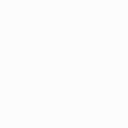 O=Cc1csc(C2OCCO2)c1